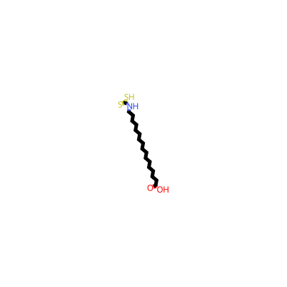 O=C(O)CCCCCCCCCCCCCCCCNC(=S)S